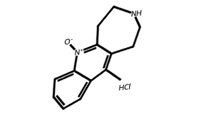 Cc1c2c([n+]([O-])c3ccccc13)CCNCC2.Cl